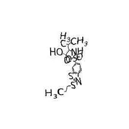 CCCSc1nc2ccc(S(=O)(=O)N[C@@H](C(=O)O)C(C)C)cc2s1